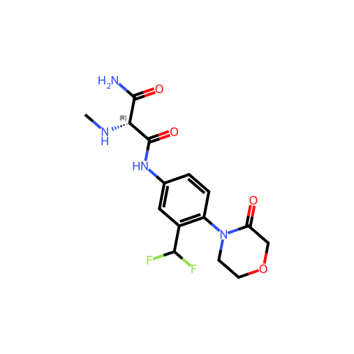 CN[C@H](C(N)=O)C(=O)Nc1ccc(N2CCOCC2=O)c(C(F)F)c1